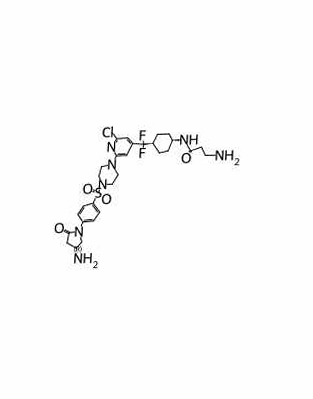 NCCC(=O)N[C@H]1CC[C@@H](C(F)(F)c2cc(Cl)nc(N3CCN(S(=O)(=O)c4ccc(N5C[C@H](N)CC5=O)cc4)CC3)c2)CC1